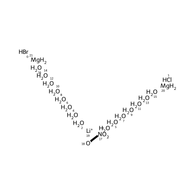 Br.Cl.O.O.O.O.O.O.O.O.O.O.O.O.O.O.O.O=[N+]([O-])[O-].[Li+].[MgH2].[MgH2]